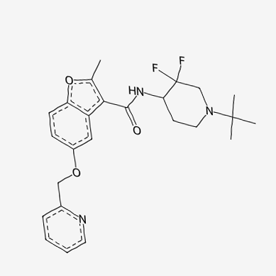 Cc1oc2ccc(OCc3ccccn3)cc2c1C(=O)NC1CCN(C(C)(C)C)CC1(F)F